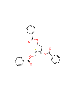 O=C(OC[C@@H]1SC(OC(=O)c2ccccc2)C[C@@H]1OC(=O)c1ccccc1)c1ccccc1